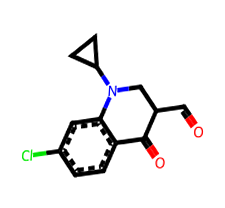 O=CC1CN(C2CC2)c2cc(Cl)ccc2C1=O